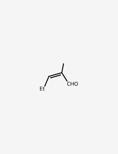 CC/C=C(/C)C=O